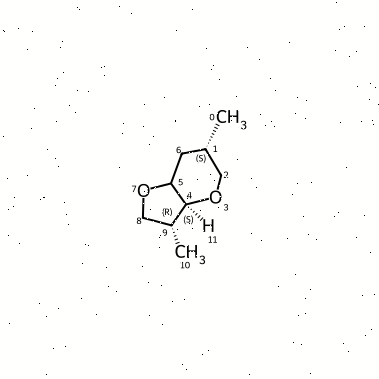 C[C@@H]1CO[C@@H]2C(C1)OC[C@H]2C